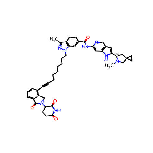 Cc1nn(CCCCCCCC#Cc2cccc3c2CN(C2CCC(=O)NC2=O)C3=O)c2cc(C(=O)Nc3cc4[nH]c([C@H]5CC6(CC6)CN5C)cc4cn3)ccc12